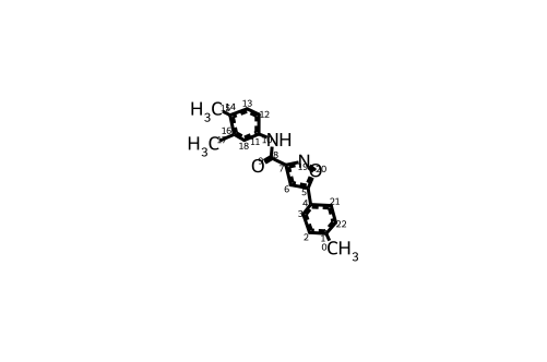 Cc1ccc(-c2cc(C(=O)Nc3ccc(C)c(C)c3)no2)cc1